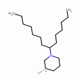 CCCCCCCC(CCCCCC)N1CCC[C@H](F)C1